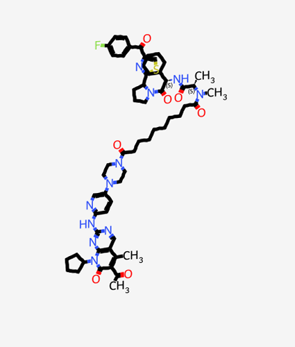 CC(=O)c1c(C)c2cnc(Nc3ccc(N4CCN(C(=O)CCCCCCCCC(=O)N(C)[C@@H](C)C(=O)N[C@H](C(=O)N5CCCC5c5nc(C(=O)c6ccc(F)cc6)cs5)C5CCCCC5)CC4)cn3)nc2n(C2CCCC2)c1=O